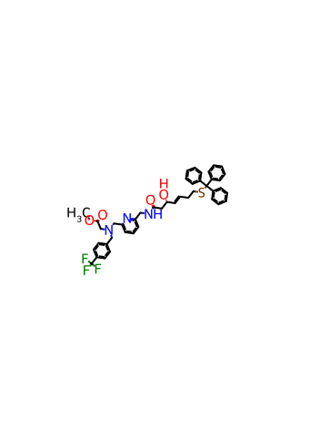 COC(=O)CN(Cc1ccc(C(F)(F)F)cc1)Cc1cccc(CNC(=O)C[C@H](O)C=CCCSC(c2ccccc2)(c2ccccc2)c2ccccc2)n1